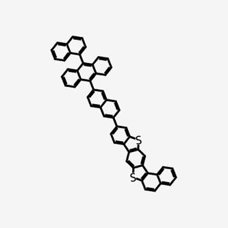 c1ccc2c(-c3c4ccccc4c(-c4ccc5cc(-c6ccc7c(c6)sc6cc8c(cc67)sc6ccc7ccccc7c68)ccc5c4)c4ccccc34)cccc2c1